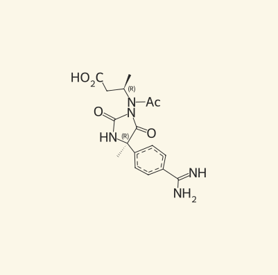 CC(=O)N([C@H](C)CC(=O)O)N1C(=O)N[C@](C)(c2ccc(C(=N)N)cc2)C1=O